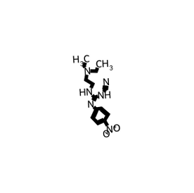 CCN(CC)CCNC(=Nc1ccc([N+](=O)[O-])cc1)NC#N